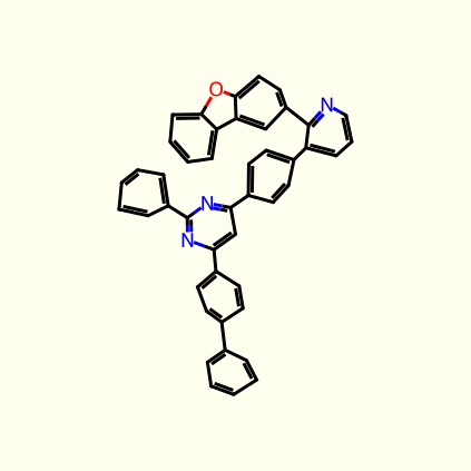 c1ccc(-c2ccc(-c3cc(-c4ccc(-c5cccnc5-c5ccc6oc7ccccc7c6c5)cc4)nc(-c4ccccc4)n3)cc2)cc1